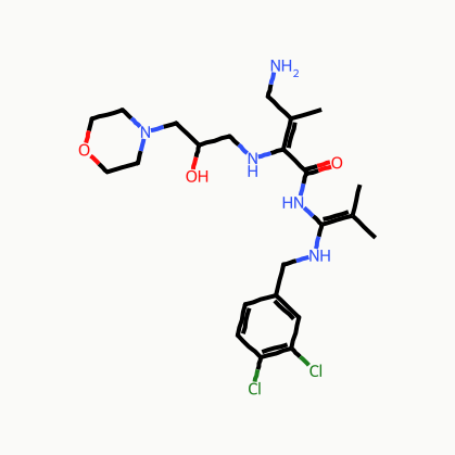 CC(C)=C(NCc1ccc(Cl)c(Cl)c1)NC(=O)/C(NCC(O)CN1CCOCC1)=C(\C)CN